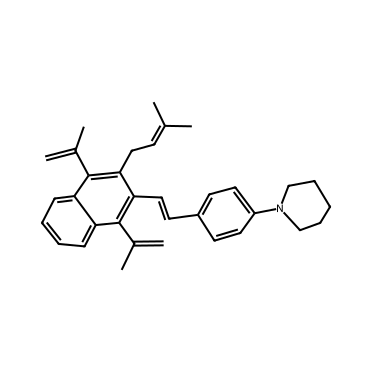 C=C(C)c1c(C=Cc2ccc(N3CCCCC3)cc2)c(CC=C(C)C)c(C(=C)C)c2ccccc12